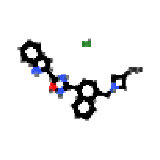 Cl.O=C(O)C1CN(Cc2ccc(-c3noc(-c4cc5ccccc5[nH]4)n3)c3ccccc23)C1